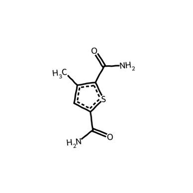 Cc1cc(C(N)=O)sc1C(N)=O